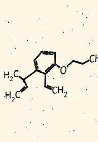 [CH2]C(C=C)c1cccc(OCCC)c1C=C